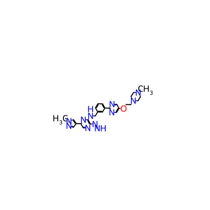 CN1CCN(CCOc2cnc(-c3cccc(CNc4nc(-c5cnn(C)c5)cnc4N=N)c3)nc2)CC1